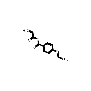 C=CC(=O)OC(=O)c1ccc(OCC)cc1